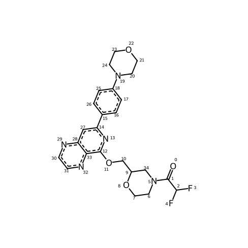 O=C(C(F)F)N1CCOC(COc2nc(-c3ccc(N4CCOCC4)cc3)cc3nccnc23)C1